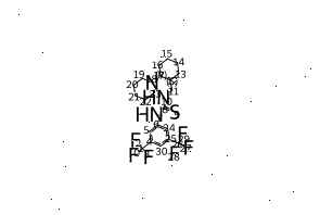 FC(F)(F)c1cc(NC(=S)NC[C@@H]2CCCC[C@H]2N2CCCCC2)cc(C(F)(F)F)c1